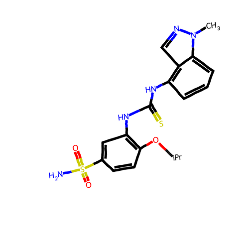 CC(C)Oc1ccc(S(N)(=O)=O)cc1NC(=S)Nc1cccc2c1cnn2C